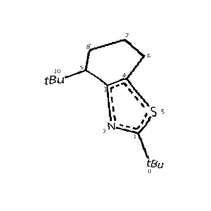 CC(C)(C)c1nc2c(s1)CCCC2C(C)(C)C